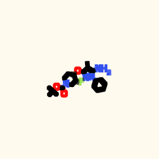 Cc1c(O[C@H]2CCN(C(=O)OC(C)(C)C)C[C@@H]2F)nn(-c2ccccc2)c1N